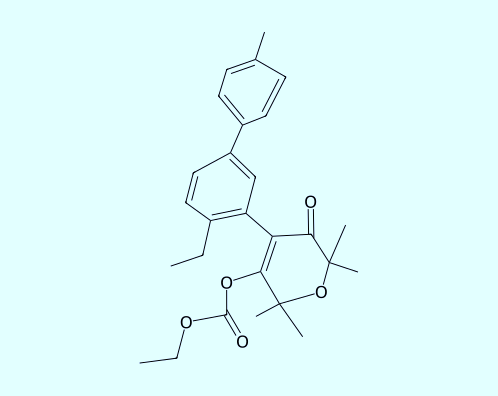 CCOC(=O)OC1=C(c2cc(-c3ccc(C)cc3)ccc2CC)C(=O)C(C)(C)OC1(C)C